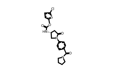 O=C(N[C@@H]1CC(=O)N(c2ccc(C(=O)N3CCCC3)cc2)C1)Oc1ccc(Cl)s1